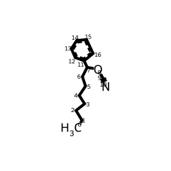 CCCCCCCC(OC#N)c1ccccc1